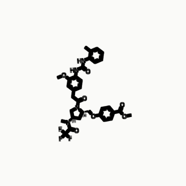 COC(=O)c1ccc(OC[C@@H]2C[C@@H](N(C)C(=O)C(F)(F)F)CN2C(=O)Cc2ccc(NC(=O)Nc3ccccc3C)c(OC)c2)cc1